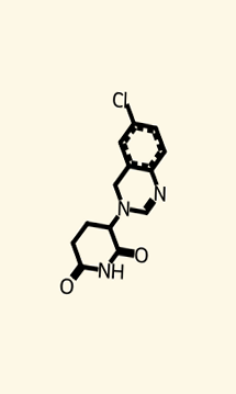 O=C1CCC(N2C=Nc3ccc(Cl)cc3C2)C(=O)N1